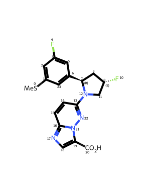 CSc1cc(F)cc([C@H]2C[C@H](F)CN2c2ccc3ncc(C(=O)O)n3n2)c1